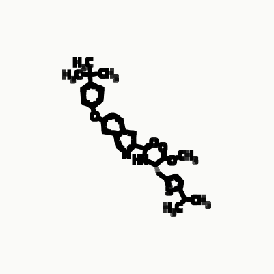 COC(=O)[C@H](Cc1ccc(C(C)C)s1)NC(=O)c1cc2ccc(Oc3ccc(C(C)(C)C)cc3)cc2cn1